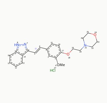 COc1cc(/C=C/c2n[nH]c3ccccc23)ccc1OCCN1CCOCC1.Cl